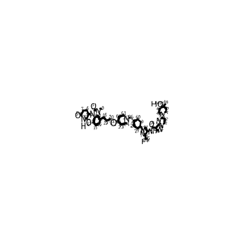 Cn1c(=O)n(C2CCC(=O)NC2=O)c2cccc(CCCOC3CCN(C[C@H]4CC[C@H](n5cc(NC(=O)c6cnn7ccc(N8CCC(C)(O)CC8)nc67)c(C(F)F)n5)CC4)CC3)c21